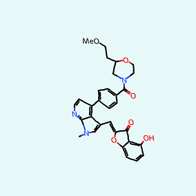 COCCC1CN(C(=O)c2ccc(-c3ccnc4c3c(/C=C3\Oc5cccc(O)c5C3=O)cn4C)cc2)CCO1